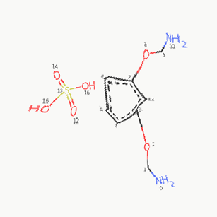 NCOc1cccc(OCN)c1.O=S(=O)(O)O